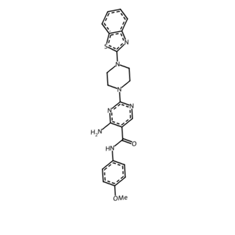 COc1ccc(NC(=O)c2cnc(N3CCN(c4nc5ccccc5s4)CC3)nc2N)cc1